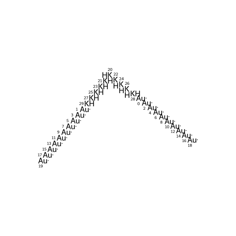 [Au].[Au].[Au].[Au].[Au].[Au].[Au].[Au].[Au].[Au].[Au].[Au].[Au].[Au].[Au].[Au].[Au].[Au].[Au].[Au].[KH].[KH].[KH].[KH].[KH].[KH].[KH].[KH].[KH].[KH]